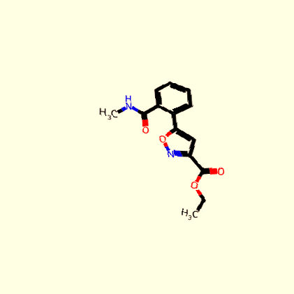 CCOC(=O)c1cc(-c2ccccc2C(=O)NC)on1